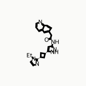 CCn1ccnc1[C@H]1C[C@@H](c2cc(NC(=O)Cc3ccc4ncccc4c3)n[nH]2)C1